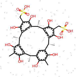 Cc1c(O)c2cc(c1O)[C@@H](C)c1cc(c(O)c(CS(=O)(=O)O)c1O)[C@@H](C)c1cc(c(O)c(CS(=O)(=O)O)c1O)[C@@H](C)c1cc(c(O)c(C)c1O)[C@H]2C